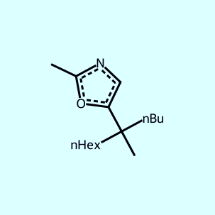 CCCCCCC(C)(CCCC)c1cnc(C)o1